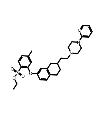 CCOS(=O)(=O)c1ccc(C)cc1Oc1ccc2c(c1)CC(CCN1CCN(c3ccccn3)CC1)CC2